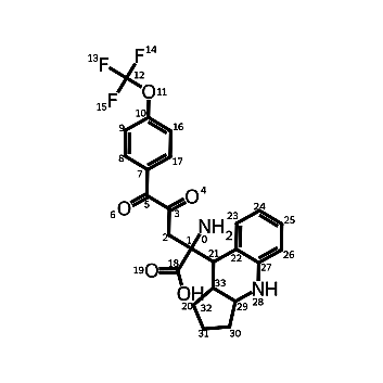 NC(CC(=O)C(=O)c1ccc(OC(F)(F)F)cc1)(C(=O)O)C1c2ccccc2NC2CCCC21